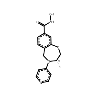 C[C@H]1COc2cc(C(=O)NO)ccc2CN1c1ccncc1